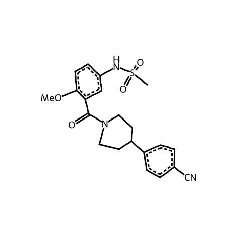 COc1ccc(NS(C)(=O)=O)cc1C(=O)N1CCC(c2ccc(C#N)cc2)CC1